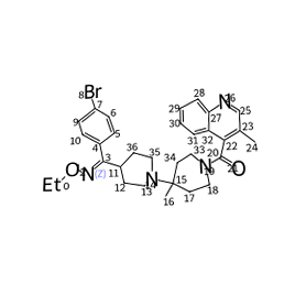 CCO/N=C(\c1ccc(Br)cc1)C1CCN(C2(C)CCN(C(=O)c3c(C)cnc4ccccc34)CC2)CC1